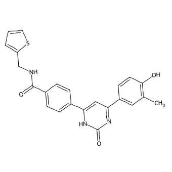 Cc1cc(-c2cc(-c3ccc(C(=O)NCc4cccs4)cc3)[nH]c(=O)n2)ccc1O